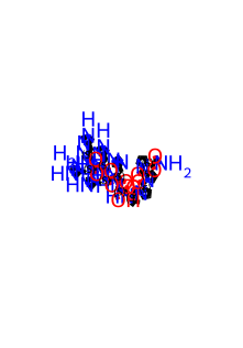 CC(C)[C@H](NC(=O)[C@H](CO)NC(=O)[C@H](Cc1c[nH]cn1)NC(=O)[C@H](Cc1c[nH]cn1)NC(=O)[C@H](Cc1c[nH]cn1)NC(=O)[C@H](Cc1c[nH]cn1)NC(=O)[C@@H](N)Cc1c[nH]cn1)C(=O)N1CCC[C@H]1C(=O)N1CCC[C@H]1C(=O)N1CCC[C@H]1C(=O)C(N)=O